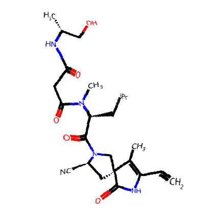 C=CC1=C(C)[C@@]2(C[C@@H](C#N)N(C(=O)[C@H](CC(C)C)N(C)C(=O)CC(=O)N[C@H](C)CO)C2)C(=O)N1